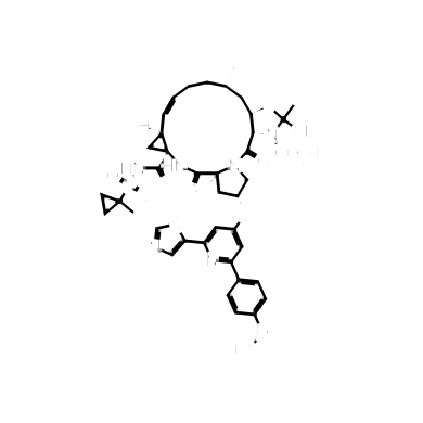 CC(C)Oc1ccc(-c2cc(O[C@@H]3C[C@H]4C(=O)N[C@]5(C(=O)NS(=O)(=O)C6(C)CC6)C[C@H]5/C=C\CC[C@H](C)C[C@@H](C)[C@H](N(C(=O)O)C(C)(C)C(F)(F)F)C(=O)N4C3)cc(-c3cncs3)n2)cc1